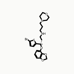 Brc1ccc([C@H](CCNCCCN2CCOCC2)Oc2cccc3c2OCO3)s1